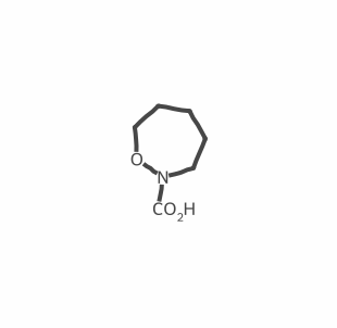 O=C(O)N1CCCCCO1